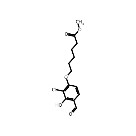 COC(=O)CCCCCOc1ccc(C=O)c(O)c1Cl